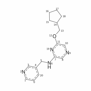 c1cncc(CNc2cncc(OCC3CCCC3)n2)c1